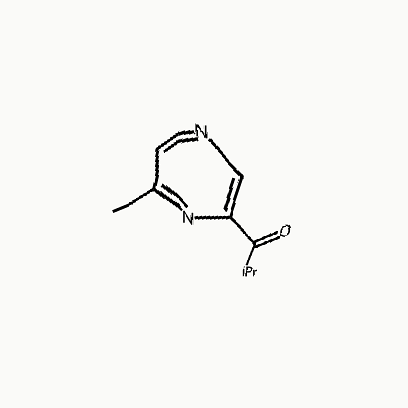 Cc1cncc(C(=O)C(C)C)n1